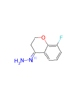 N/N=C1\CCOc2c(F)cccc21